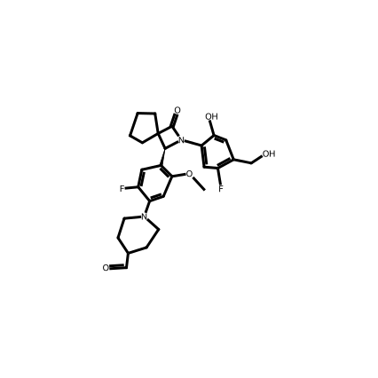 COc1cc(N2CCC(C=O)CC2)c(F)cc1[C@@H]1N(c2cc(F)c(CO)cc2O)C(=O)C12CCCC2